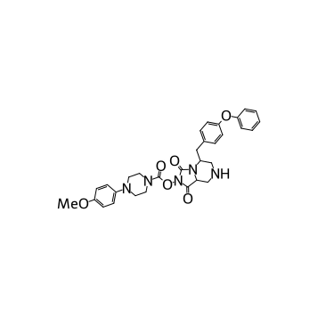 COc1ccc(N2CCN(C(=O)ON3C(=O)C4CNCC(Cc5ccc(Oc6ccccc6)cc5)N4C3=O)CC2)cc1